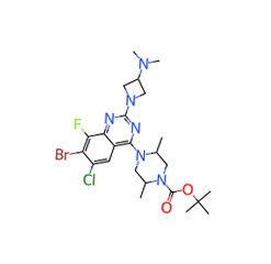 CC1CN(c2nc(N3CC(N(C)C)C3)nc3c(F)c(Br)c(Cl)cc23)C(C)CN1C(=O)OC(C)(C)C